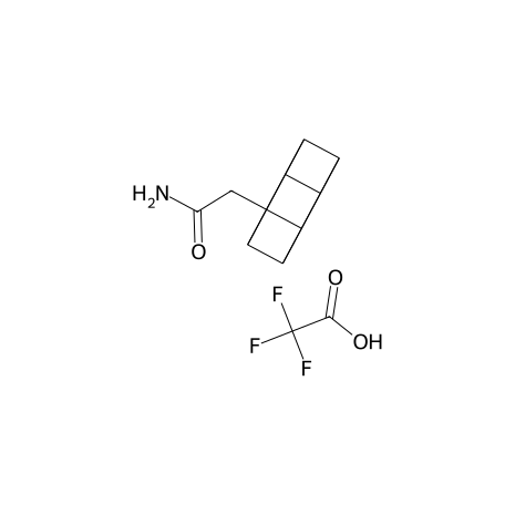 NC(=O)CC12C3C4C5C3C1C5C42.O=C(O)C(F)(F)F